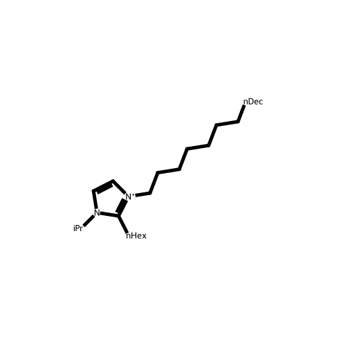 CCCCCCCCCCCCCCCCC[n+]1ccn(C(C)C)c1CCCCCC